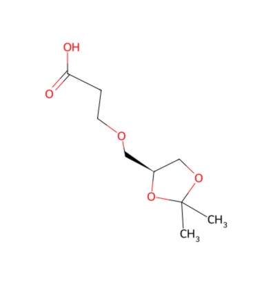 CC1(C)OC[C@H](COCCC(=O)O)O1